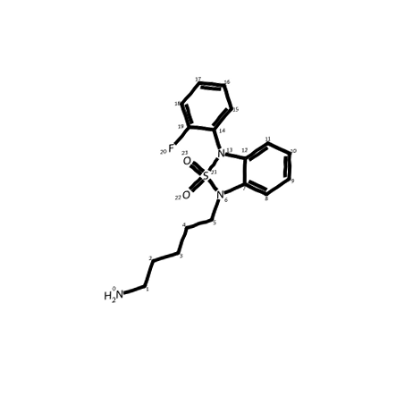 NCCCCCN1c2ccccc2N(c2ccccc2F)S1(=O)=O